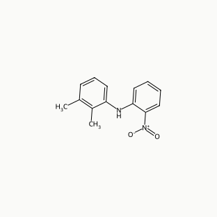 Cc1cccc(Nc2ccccc2[N+](=O)[O-])c1C